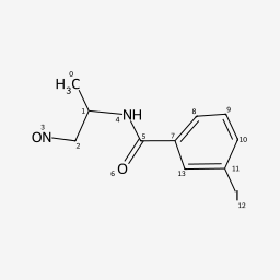 CC(CN=O)NC(=O)c1cccc(I)c1